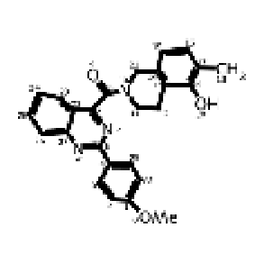 COc1ccc(-c2nc(C(=O)N3CCc4c(ccc(C)c4O)C3)c3ccccc3n2)cc1